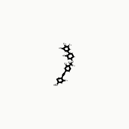 CCCCc1ccc(C#Cc2ccc(C(F)(F)Oc3ccc(-c4cc(F)c(F)c(F)c4)c(F)c3)c(F)c2)c(F)c1